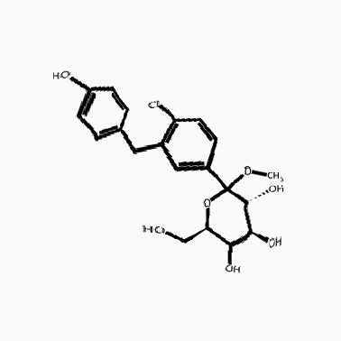 COC1(c2ccc(Cl)c(Cc3ccc(O)cc3)c2)O[C@H](CO)C(O)[C@H](O)[C@H]1O